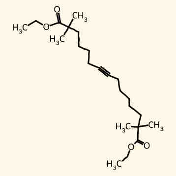 CCOC(=O)C(C)(C)CCCCC#CCCCCCC(C)(C)C(=O)OCC